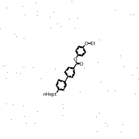 CCCCCCCc1ccc(-c2ccc(C(=O)Oc3ccc(OCC)cc3)cc2)cc1